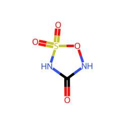 O=C1NOS(=O)(=O)N1